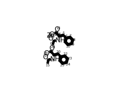 CC(=O)N/C(=C\c1ccccc1)C(=O)[O-].CC(=O)N/C(=C\c1ccccc1)C(=O)[O-].[Zn+2]